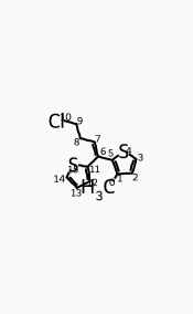 Cc1ccsc1/C(=C/CCCl)c1cccs1